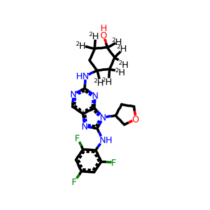 [2H]C1([2H])CC([2H])(Nc2ncc3nc(Nc4c(F)cc(F)cc4F)n(C4CCOC4)c3n2)C([2H])([2H])C([2H])([2H])C1([2H])O